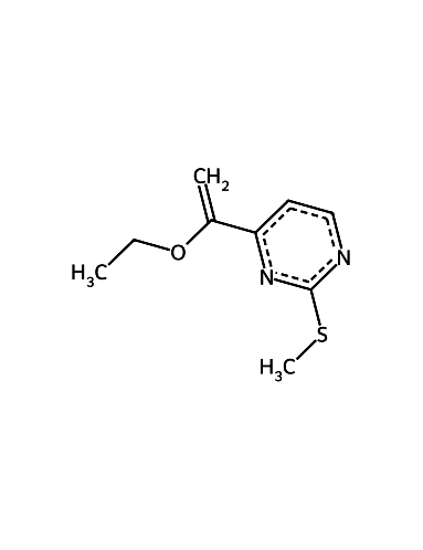 C=C(OCC)c1ccnc(SC)n1